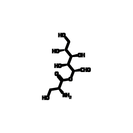 N[C@@H](CO)C(=O)O[C@H](C=O)[C@@H](O)[C@H](O)[C@H](O)CO